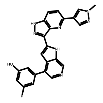 Cn1cc(-c2ccc3[nH]nc(-c4cc5c(-c6cc(O)cc(F)c6)cncc5[nH]4)c3n2)cn1